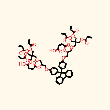 C=CC(=O)OCC(COCC(COc1ccc(C2(c3ccc(OCC(COCC(COC(=O)C=C)(COC(=O)C=C)COC(=O)C=C)OC(=O)/C=C\C(=O)O)cc3)c3ccccc3-c3ccccc32)cc1)OC(=O)/C=C\C(=O)O)(COC(=O)C=C)COC(=O)C=C